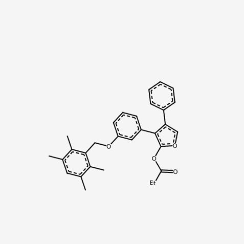 CCC(=O)Oc1occ(-c2ccccc2)c1-c1cccc(OCc2c(C)c(C)cc(C)c2C)c1